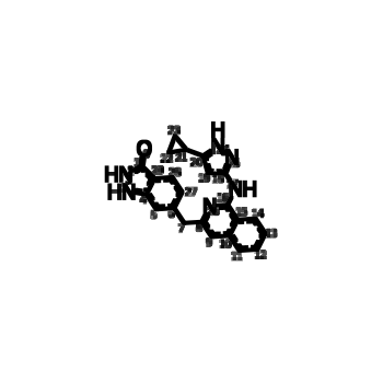 O=c1[nH][nH]c2cc(Cc3cc4ccccc4c(Nc4cc(C5CC5)[nH]n4)n3)ccc12